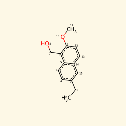 CCc1ccc2c(CO)c(OC)ccc2c1